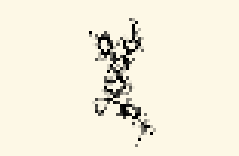 O=C(c1ccc(C(F)(F)F)nc1)N1CCN(c2cnc(-c3ccc(F)cc3)c(-c3ccc(F)cc3)n2)CC1